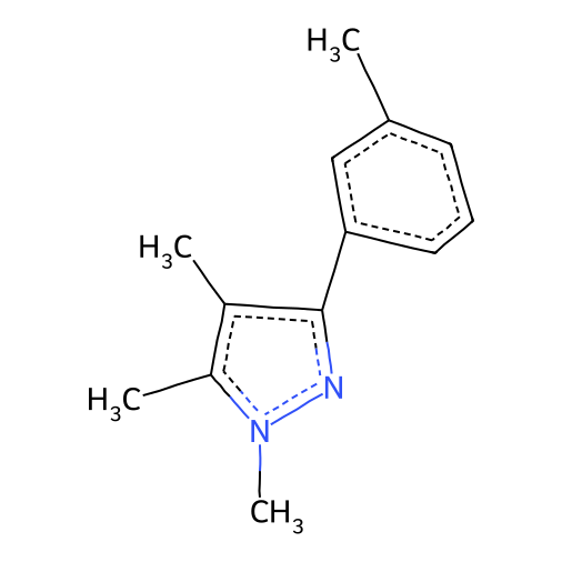 Cc1cccc(-c2nn(C)c(C)c2C)c1